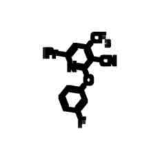 CC(C)c1cc(C(F)(F)F)c(C#N)c(Oc2cccc(F)c2)n1